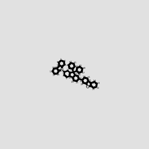 C1=CC(n2c3ccccc3c3ccccc32)CC2=C1c1ccc(-c3ccc4c(c3)oc3ccccc34)cc1C2(c1ccccc1)c1ccccc1